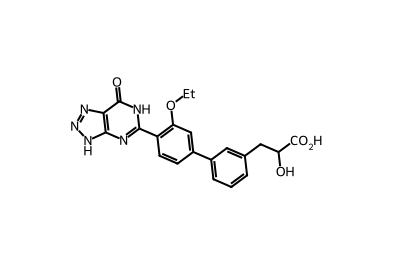 CCOc1cc(-c2cccc(CC(O)C(=O)O)c2)ccc1-c1nc2[nH]nnc2c(=O)[nH]1